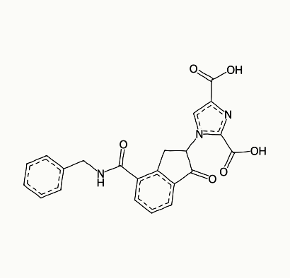 O=C(O)c1cn(C2Cc3c(C(=O)NCc4ccccc4)cccc3C2=O)c(C(=O)O)n1